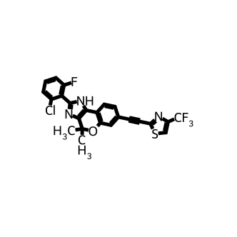 CC1(C)Oc2cc(C#Cc3nc(C(F)(F)F)cs3)ccc2-c2[nH]c(-c3c(F)cccc3Cl)nc21